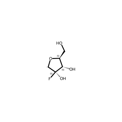 OC[C@@H]1O[CH][C@](O)(F)[C@H]1O